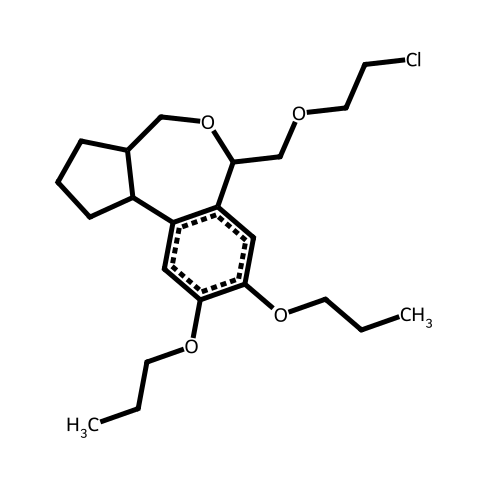 CCCOc1cc2c(cc1OCCC)C1CCCC1COC2COCCCl